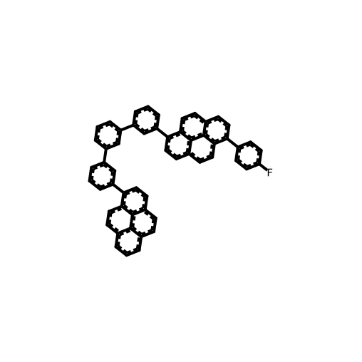 Fc1ccc(-c2ccc3ccc4c(-c5cccc(-c6cccc(-c7cccc(-c8ccc9ccc%10cccc%11ccc8c9c%10%11)c7)c6)c5)ccc5ccc2c3c54)cc1